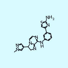 Cn1cc(C2CN=C3C(Nc4cccc(-c5csc(N)n5)c4)=NC=CN32)cn1